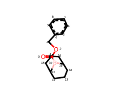 O=C(OCc1ccccc1)B1C2CCCC1CCC2